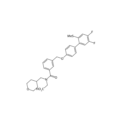 CSc1cc(F)c(F)cc1-c1ccc(OCc2cccc(C(=O)N(CC(=O)O)CC3CCOCC3)c2)cc1